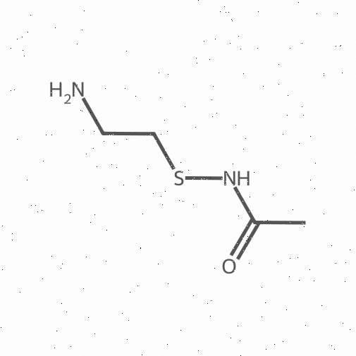 CC(=O)NSCCN